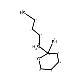 SCCC[SiH2][C]1([Pd])CCCCO1